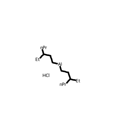 CCCC(CC)C[CH2][Al][CH2]CC(CC)CCC.Cl